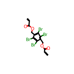 C=CC(=O)OCc1c(Br)c(Br)c(COC(=O)C=C)c(Br)c1Br